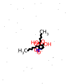 CCCCCCC(O)c1c(C(=O)O)ccc([N+](=O)[O-])c1C(O)CCCCCC